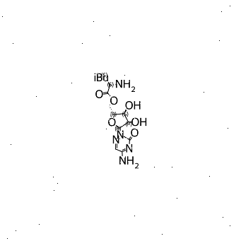 CC[C@H](C)[C@H](N)C(=O)OC[C@H]1O[C@@H](n2ncc(N)nc2=O)[C@H](O)[C@@H]1O